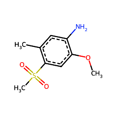 COc1cc(S(C)(=O)=O)c(C)cc1N